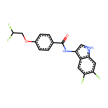 O=C(Nc1c[nH]c2cc(F)c(F)cc12)c1ccc(OCC(F)F)cc1